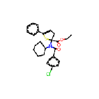 CCOC(=O)C1(N(C(=O)c2ccc(Cl)cc2)C2CCCCC2)CC=C(c2ccccc2)S1